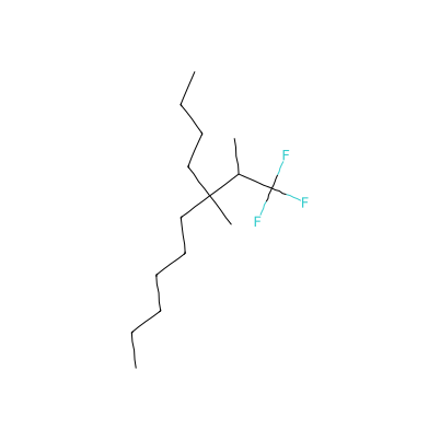 CCCCCCC(C)(CCCC)C(C)C(F)(F)F